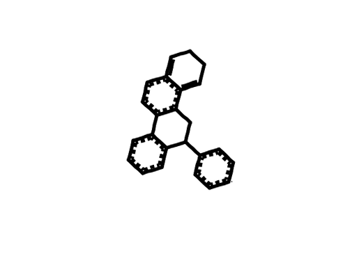 [c]1ccc(C2Cc3c(ccc4c3=CCCC=4)-c3ccccc32)cc1